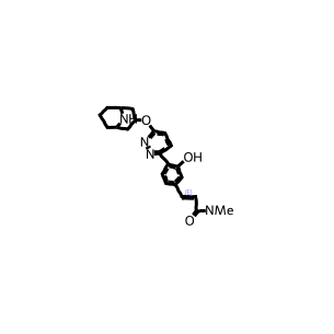 CNC(=O)/C=C/c1ccc(-c2ccc(OC3CC4CCCC(C3)N4)nn2)c(O)c1